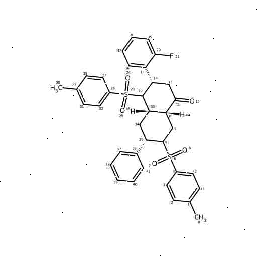 Cc1ccc(S(=O)(=O)C2C[C@H]3C(=O)C[C@@H](c4ccccc4F)C(S(=O)(=O)c4ccc(C)cc4)[C@H]3C[C@H]2c2ccccc2)cc1